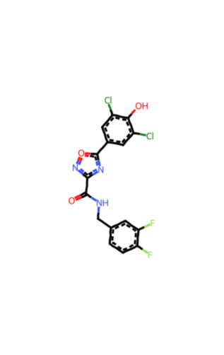 O=C(NCc1ccc(F)c(F)c1)c1noc(-c2cc(Cl)c(O)c(Cl)c2)n1